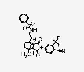 CC12CCC(CCNS(=O)(=O)c3ccccc3)(O1)[C@H]1C(=O)N(c3ccc(C#N)c(C(F)(F)F)c3)C(=O)[C@H]12